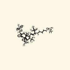 C[SiH](C)OCCCCC[C@@H](C=C[C@H]1[C@H](C(C)(C)C)C[C@@]2(O[SiH](C)C)C3OC3(COS(C)(=O)=O)C[C@@H]12)C(C)(C)C